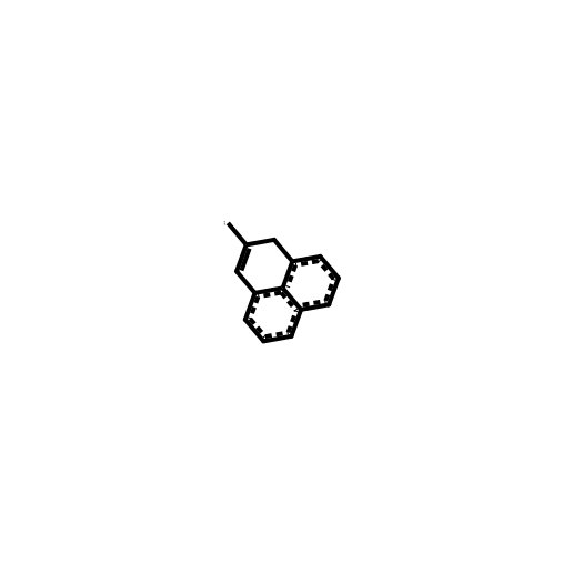 [CH]C1=Cc2cccc3cccc(c23)C1